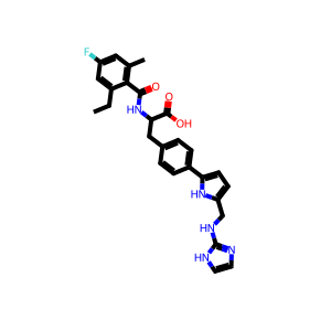 CCc1cc(F)cc(C)c1C(=O)NC(Cc1ccc(-c2ccc(CNc3ncc[nH]3)[nH]2)cc1)C(=O)O